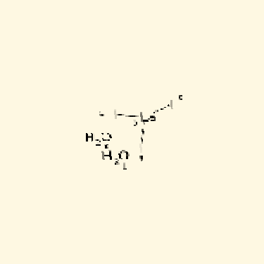 O.O.[I][La]([I])[I]